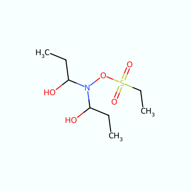 CCC(O)N(OS(=O)(=O)CC)C(O)CC